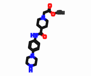 CC(C)(C)OC(=O)CN1CCC(C(=O)Nc2ccc(N3CCNCC3)cc2)CC1